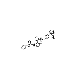 CN(C)c1ccc(CNC(=O)c2ccccc2-c2ccccc2CNC(=O)OCc2ccccc2)cc1